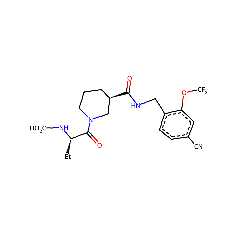 CC[C@@H](NC(=O)O)C(=O)N1CCC[C@@H](C(=O)NCc2ccc(C#N)cc2OC(F)(F)F)C1